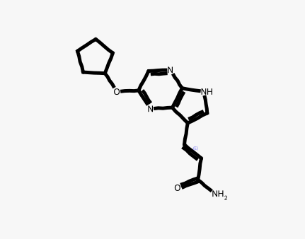 NC(=O)/C=C/c1c[nH]c2ncc(OC3CCCC3)nc12